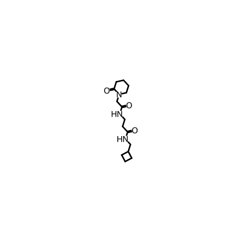 O=C(CCNC(=O)CN1CCCCC1=O)NCC1CCC1